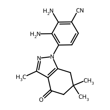 Cc1nn(-c2ccc(C#N)c(N)c2N)c2c1C(=O)CC(C)(C)C2